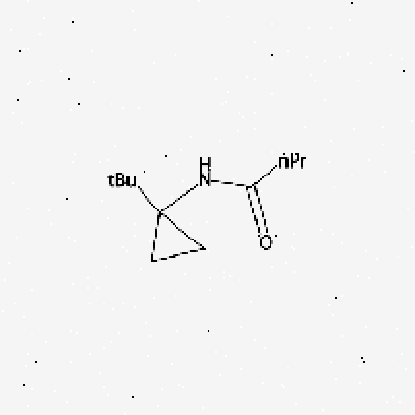 CCCC(=O)NC1(C(C)(C)C)CC1